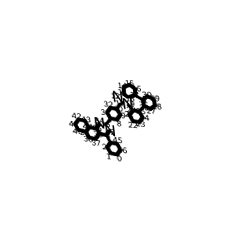 c1ccc(-c2nc(-c3ccc(-c4nc5cccc6c5n4-c4ccccc4-c4ccccc4-6)cc3)nc3c2ccc2ccccc23)cc1